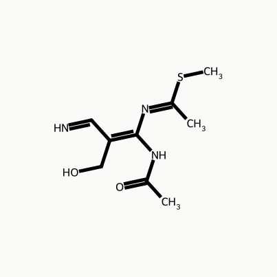 CS/C(C)=N/C(NC(C)=O)=C(\C=N)CO